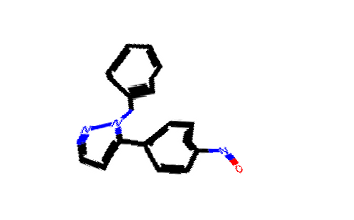 O=Nc1ccc(-c2ccnn2-c2ccccc2)cc1